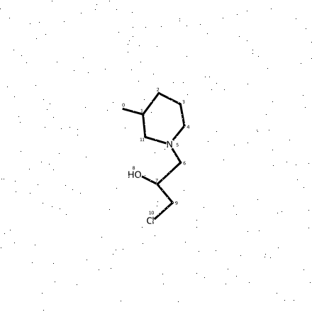 CC1CCCN(CC(O)CCl)C1